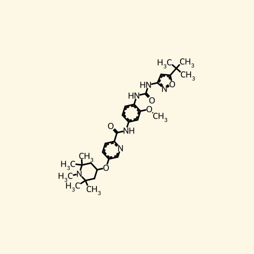 COc1cc(NC(=O)c2ccc(OC3CC(C)(C)N(C)C(C)(C)C3)cn2)ccc1NC(=O)Nc1cc(C(C)(C)C)on1